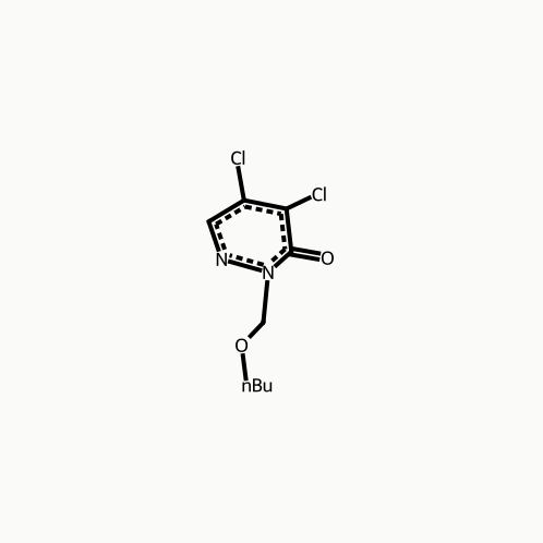 CCCCOCn1ncc(Cl)c(Cl)c1=O